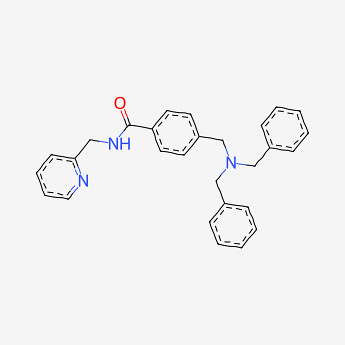 O=C(NCc1ccccn1)c1ccc(CN(Cc2ccccc2)Cc2ccccc2)cc1